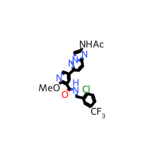 COc1ncc(-c2ccc3nc(NC(C)=O)cn3n2)cc1C(=O)NCc1cc(C(F)(F)F)ccc1Cl